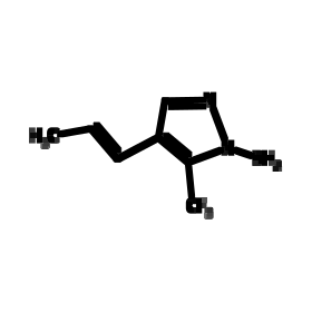 Bn1ncc(C=CC)c1C(F)(F)F